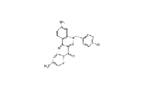 Cc1ccc(C(=O)c2cn(Cc3ccc(Cl)cc3)c3nc(C)ccc3c2=O)cc1